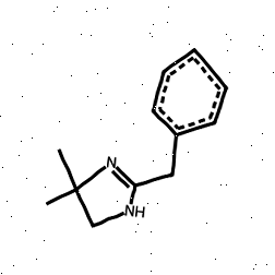 CC1(C)CNC(Cc2ccccc2)=N1